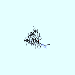 C=C/C=C\C=C\C[C@@H](C=O)N(C)C(=O)[C@H](CC(C)C)N(C)C(=O)[C@H](CC(C)C)NC(=O)[C@H](CC)N(C)C(=O)CC(NC(=O)[C@H](CC(C)C)N(C)C)C(=O)N1CCCCC1